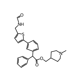 CN1CCC(COC(=O)C(c2ccccc2)c2cccc(-c3ccc(CNC=O)s3)c2)CC1